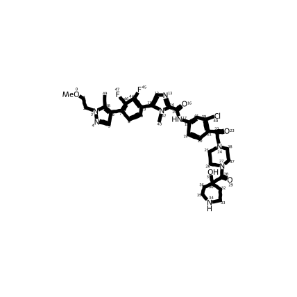 COCCn1ncc(-c2ccc(-c3cnc(C(=O)Nc4ccc(C(=O)N5CCN(C(=O)C6(O)CCNCC6)CC5)c(Cl)c4)n3C)c(F)c2F)c1C